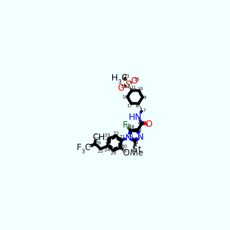 CCc1nc(C(=O)NC[C@H]2CC[C@H](S(C)(=O)=O)CC2)c(F)n1-c1ccc(CC(C)C(F)(F)F)cc1OC